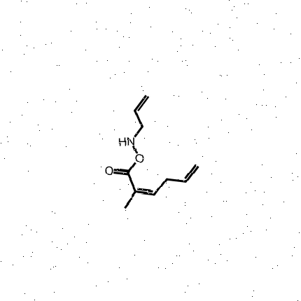 C=CCC=C(C)C(=O)ONCC=C